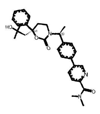 C[C@@H](c1ccc(-c2ccc(C(=O)N(C)C)nc2)cc1)N1CC[C@](CC(C)(C)O)(c2ccccc2)OC1=O